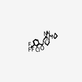 O=C(c1cccc(C(F)(F)F)c1Cl)N1CCn2c(nnc2N2CCC2)C1